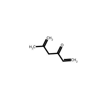 C=CC(=O)CC(=C)C